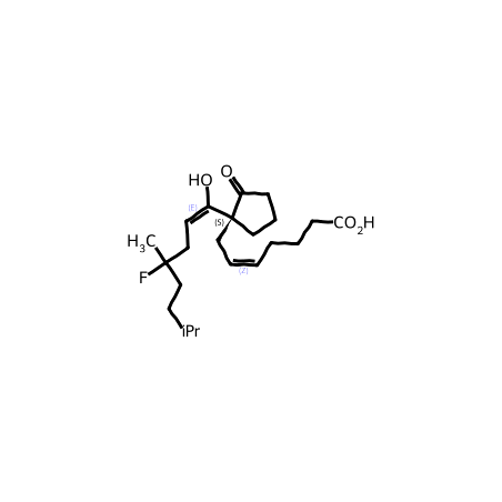 CC(C)CCC(C)(F)C/C=C(/O)[C@@]1(C/C=C\CCCC(=O)O)CCCC1=O